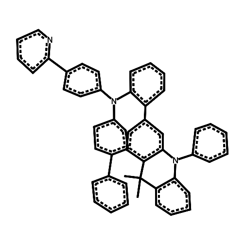 CC1(C)c2ccccc2N(c2ccccc2)c2cc(-c3ccccc3N(c3ccc(-c4ccccc4)cc3)c3ccc(-c4ccccn4)cc3)ccc21